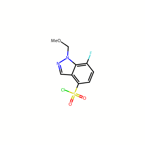 COCn1ncc2c(S(=O)(=O)Cl)ccc(F)c21